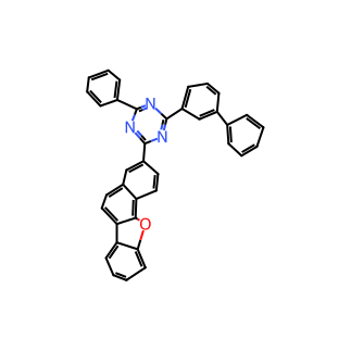 c1ccc(-c2cccc(-c3nc(-c4ccccc4)nc(-c4ccc5c(ccc6c7ccccc7oc56)c4)n3)c2)cc1